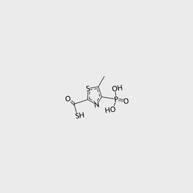 Cc1sc(C(=O)S)nc1P(=O)(O)O